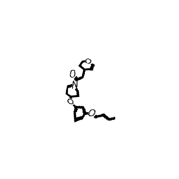 CCCCOc1cccc(OC2CCN(C(=O)CC3CCOCC3)CC2)c1